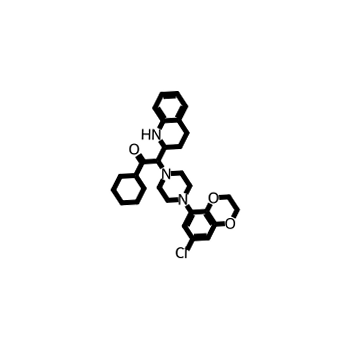 O=C(C1CCCCC1)C(C1CCc2ccccc2N1)N1CCN(c2cc(Cl)cc3c2OCCO3)CC1